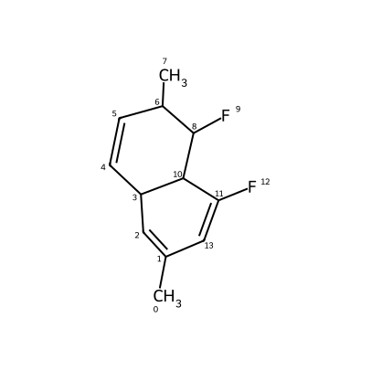 CC1=CC2C=CC(C)C(F)C2C(F)=C1